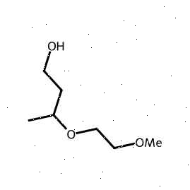 COCCOC(C)CCO